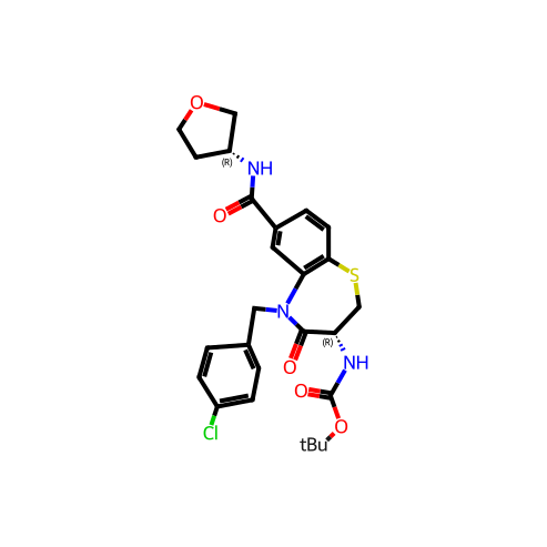 CC(C)(C)OC(=O)N[C@H]1CSc2ccc(C(=O)N[C@@H]3CCOC3)cc2N(Cc2ccc(Cl)cc2)C1=O